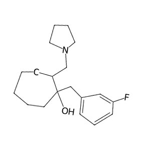 OC1(Cc2cccc(F)c2)CCCCCC1CN1CCCC1